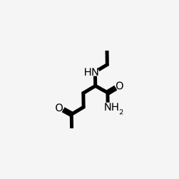 CCNC(CCC(C)=O)C(N)=O